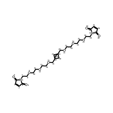 O=C1C=CC(=O)N1CCOCCOCCOCC12CC(COCCOCCOCCN3C(=O)C=CC3=O)(C1)C2